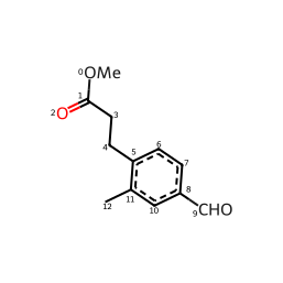 COC(=O)CCc1ccc(C=O)cc1C